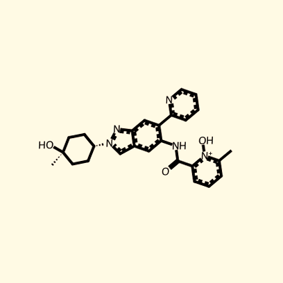 Cc1cccc(C(=O)Nc2cc3cn([C@H]4CC[C@](C)(O)CC4)nc3cc2-c2ccccn2)[n+]1O